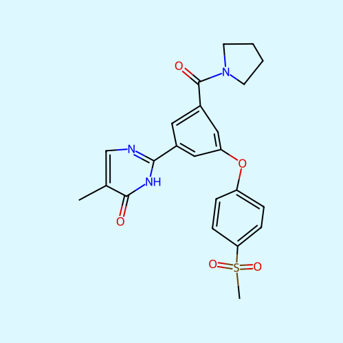 Cc1cnc(-c2cc(Oc3ccc(S(C)(=O)=O)cc3)cc(C(=O)N3CCCC3)c2)[nH]c1=O